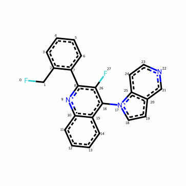 FCc1ccccc1-c1nc2ccccc2c(-n2ccc3cnccc32)c1F